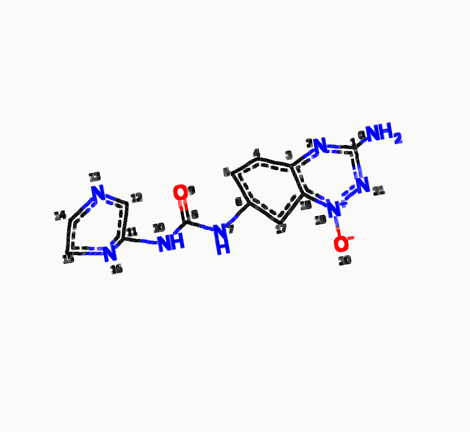 Nc1nc2ccc(NC(=O)Nc3cnccn3)cc2[n+]([O-])n1